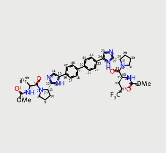 COC(=O)NC(C(=O)N1CCC[C@H]1c1ncc(-c2ccc(-c3ccc(-c4cnc([C@@H]5CCCN5C(=O)[C@H](CCC(F)(F)F)NC(=O)OC)[nH]4)cc3)cc2)[nH]1)C(C)C